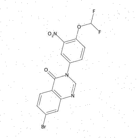 O=c1c2ccc(Br)cc2ncn1-c1ccc(OC(F)F)c([N+](=O)[O-])c1